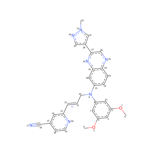 COc1cc(OC)cc(N(C/C=C/c2cc(C#N)ccn2)c2ccc3ncc(-c4cnn(C)c4)nc3c2)c1